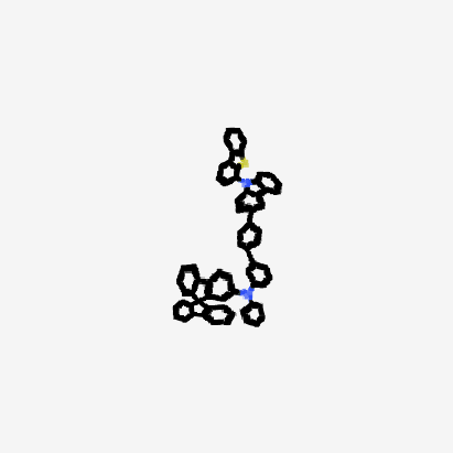 c1ccc(N(c2cccc(-c3ccc(-c4ccc5c(c4)c4ccccc4n5-c4cccc5c4sc4ccccc45)cc3)c2)c2ccc3c(c2)C2(c4ccccc4-c4ccccc42)c2ccccc2-3)cc1